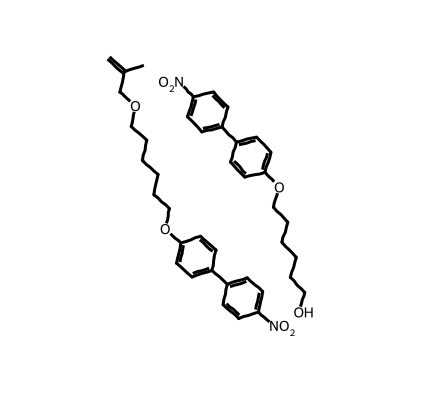 C=C(C)COCCCCCCOc1ccc(-c2ccc([N+](=O)[O-])cc2)cc1.O=[N+]([O-])c1ccc(-c2ccc(OCCCCCCO)cc2)cc1